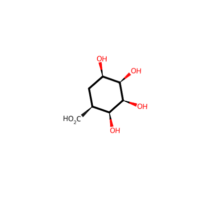 O=C(O)[C@H]1C[C@@H](O)[C@@H](O)[C@@H](O)[C@H]1O